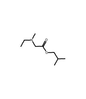 CCN(C)CC(=O)OCC(C)C